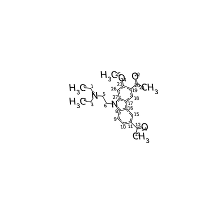 CCN(CC)CCn1c2ccc(C(C)=O)cc2c2cc(C(C)=O)c(OC)cc21